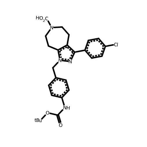 CC(C)(C)OC(=O)Nc1ccc(Cn2nc(-c3ccc(Cl)cc3)c3c2CCN(C(=O)O)CC3)cc1